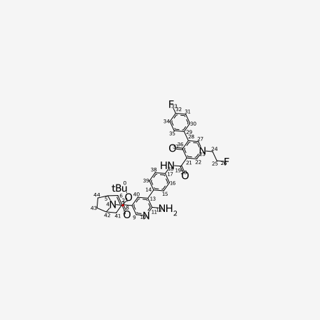 CC(C)(C)OC(=O)N1C2C=C(c3cnc(N)c(-c4ccc(NC(=O)c5cn(CCF)cc(-c6ccc(F)cc6)c5=O)cc4)c3)CC1CC2